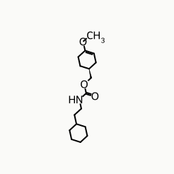 COC1=CC[C@@H](COC(=O)NCCC2CCCCC2)CC1